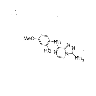 COc1ccc(Nc2nccn3c(N)nnc23)c(O)c1